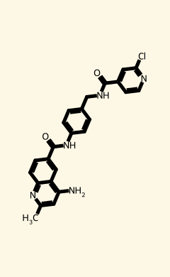 Cc1cc(N)c2cc(C(=O)Nc3ccc(CNC(=O)c4ccnc(Cl)c4)cc3)ccc2n1